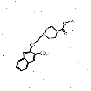 CC(C)OC(=O)N1CCN(CCOc2cc3ccccc3cc2C(=O)O)CC1